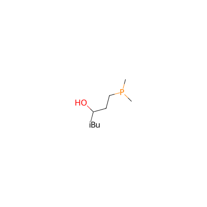 CCC(C)C(O)CCP(C)C